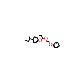 CCC(OCCOc1ccccc1)Oc1ccc(C(C)CC)cc1